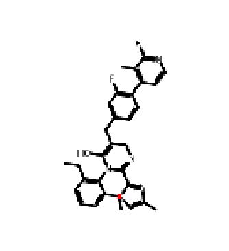 CCc1cccc(CC)c1N1C(c2nc(C)cs2)=NCC(Cc2ccc(-c3ccnc(F)c3C)c(F)c2)=C1O